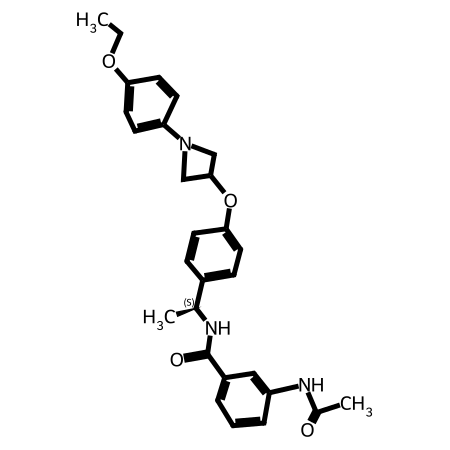 CCOc1ccc(N2CC(Oc3ccc([C@H](C)NC(=O)c4cccc(NC(C)=O)c4)cc3)C2)cc1